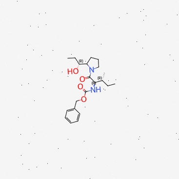 CC[C@@H](O)C1CCCN1C(=O)[C@H](NC(=O)OCc1ccccc1)[C@H](C)CC